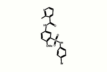 COc1ccc(NC(=O)c2cccnc2C)cc1S(=O)(=O)Nc1ccc(Br)cc1